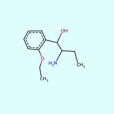 CCOc1ccccc1C(O)C(N)CC